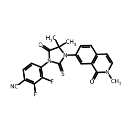 Cn1ccc2ccc(N3C(=S)N(c4ccc(C#N)c(F)c4F)C(=O)C3(C)C)cc2c1=O